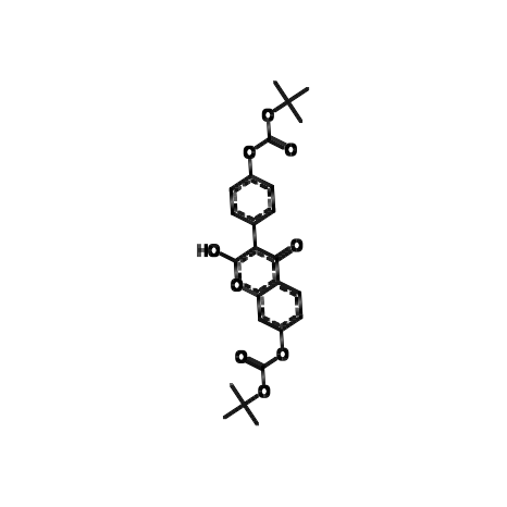 CC(C)(C)OC(=O)Oc1ccc(-c2c(O)oc3cc(OC(=O)OC(C)(C)C)ccc3c2=O)cc1